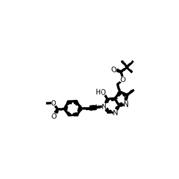 COC(=O)c1ccc(C#Cn2cnc3nc(C)c(COC(=O)C(C)(C)C)c-3c2O)cc1